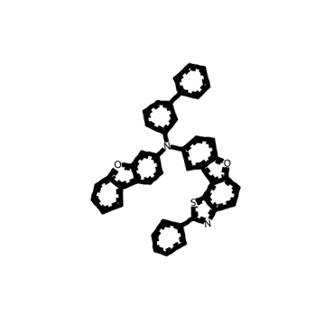 c1ccc(-c2cccc(N(c3ccc4c(c3)oc3ccccc34)c3ccc4oc5ccc6nc(-c7ccccc7)sc6c5c4c3)c2)cc1